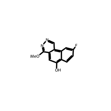 COc1nncc2c1cc(O)c1ccc(F)cc12